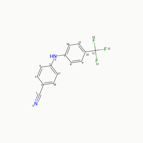 N#Cc1ccc(Nc2ccc(C(F)(F)F)cc2)cc1